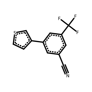 N#Cc1cc(-c2ccsc2)cc(C(F)(F)F)c1